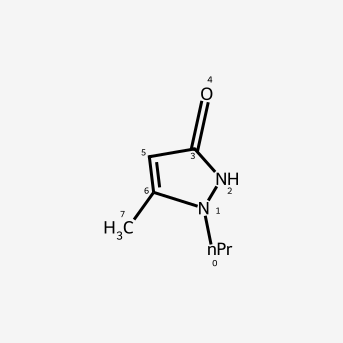 CCCn1[nH]c(=O)cc1C